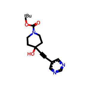 CC(C)(C)OC(=O)N1CCC(O)(C#Cc2cncnc2)CC1